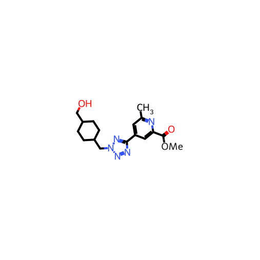 COC(=O)c1cc(-c2nnn(CC3CCC(CO)CC3)n2)cc(C)n1